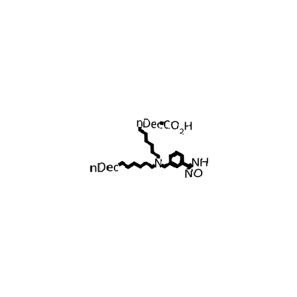 CC(=O)O.CCCCCCCCCCCCCCCCN(CCCCCCCCCCCCCCCC)Cc1cccc(C(=N)N=O)c1